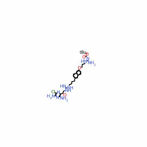 CC(C)(C)OC(=O)/N=C(/N)NCCCOc1ccc2cc(CCCCNC(=N)NCC(=O)c3nc(Cl)c(N)nc3N)ccc2c1